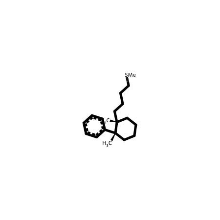 CSCCCC[C@]1(C)CCCC[C@]1(C)c1ccccc1